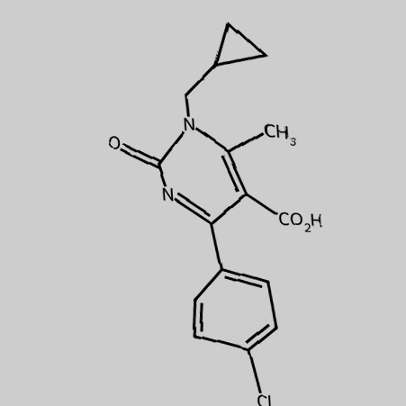 Cc1c(C(=O)O)c(-c2ccc(Cl)cc2)nc(=O)n1CC1CC1